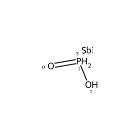 O=[PH2]O.[Sb]